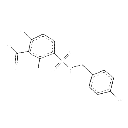 O=C(O)c1c(Cl)ccc(S(=O)(=O)NCc2ccc(Br)cc2)c1Cl